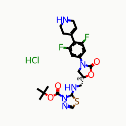 CC(C)(C)OC(=O)N1N=CSC1NC[C@@H]1CN(c2cc(F)c(C3=CCNCC3)c(F)c2)C(=O)O1.Cl